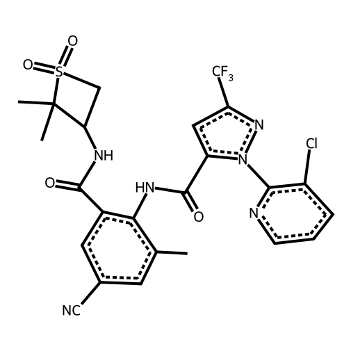 Cc1cc(C#N)cc(C(=O)NC2CS(=O)(=O)C2(C)C)c1NC(=O)c1cc(C(F)(F)F)nn1-c1ncccc1Cl